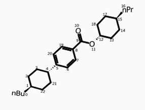 CCCC[C@H]1CC[C@H](c2ccc(C(=O)O[C@H]3CC[C@H](CCC)CC3)cc2)CC1